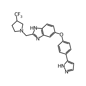 FC(F)(F)C1CCN(Cc2nc3cc(Oc4ccc(-c5ccn[nH]5)cc4)ccc3[nH]2)C1